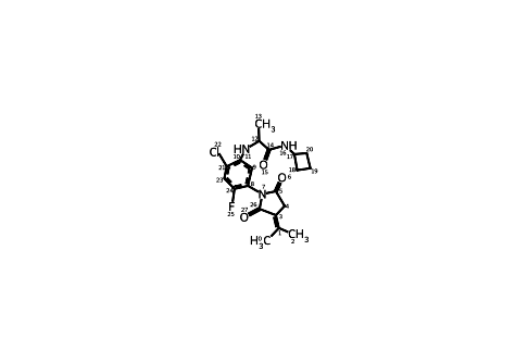 CC(C)=C1CC(=O)N(c2cc(NC(C)C(=O)NC3CCC3)c(Cl)cc2F)C1=O